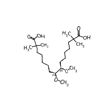 CO[C@@H](CCCCCC(C)(C)C(=O)O)[C@@H](CCCCCC(C)(C)C(=O)O)OC